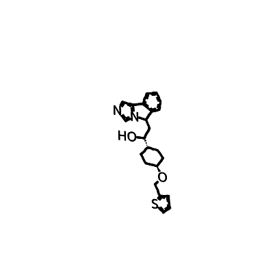 OC(CC1c2ccccc2-c2cncn21)[C@H]1CC[C@H](OCc2cccs2)CC1